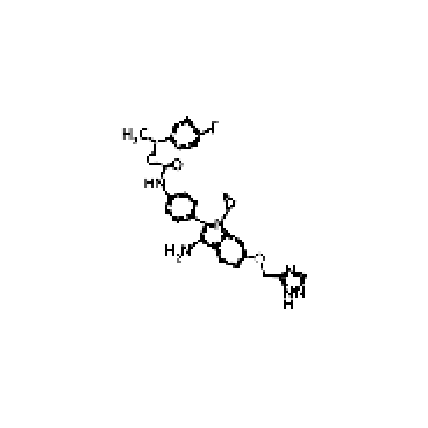 CC(OC(=O)Nc1ccc(-c2c(N)c3ccc(OCc4ncn[nH]4)cc3n2C2CC2)cc1)c1ccc(F)cc1